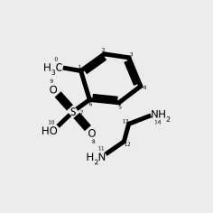 Cc1ccccc1S(=O)(=O)O.NCCN